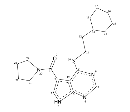 O=C(c1c[nH]c2ncnc(SCCC3CCCCC3)c12)N1CCCC1